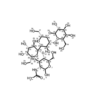 CC(=O)N[C@H]1C(O)O[C@H](CO)[C@@H](O[C@]2([C@@H]3O[C@H](CO)[C@H](O[C@@H]4O[C@H](CO)[C@H](O)[C@H](O)[C@H]4O)[C@H](O)[C@H]3O)O[C@H](CO)[C@H](O)[C@H](O)[C@H]2O)[C@@H]1O